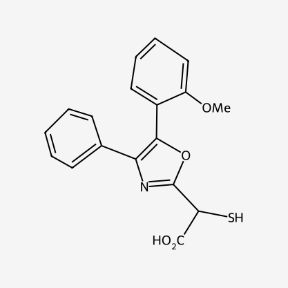 COc1ccccc1-c1oc(C(S)C(=O)O)nc1-c1ccccc1